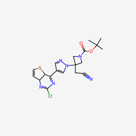 CC(C)(C)OC(=O)N1CC(CC#N)(n2cc(C3=NC(Cl)=NC4C=CSC34)cn2)C1